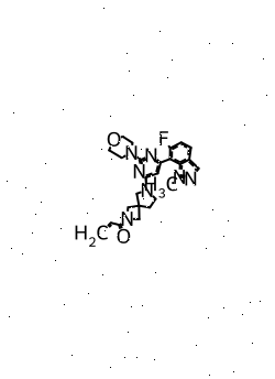 C=CC(=O)N1CC2(CCN(c3cc(-c4c(F)ccc5cnn(C)c45)nc(N4CCOCC4)n3)C2)C1